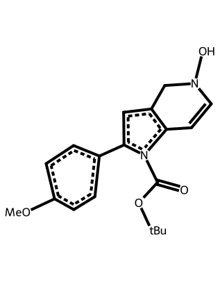 COc1ccc(-c2cc3c(n2C(=O)OC(C)(C)C)C=CN(O)C3)cc1